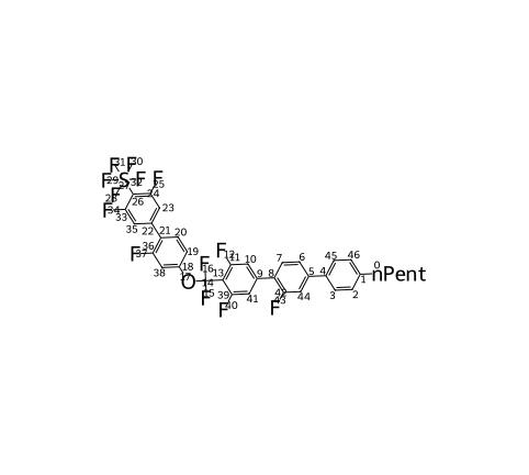 CCCCCc1ccc(-c2ccc(-c3cc(F)c(C(F)(F)Oc4ccc(-c5cc(F)c(S(F)(F)(F)(F)F)c(F)c5)c(F)c4)c(F)c3)c(F)c2)cc1